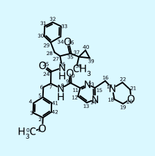 COc1ccc(CC(NC(=O)c2ccnc(CN3CCOCC3)n2)C(=O)NC(Cc2ccccc2)C(=O)C2(C)CC2)cc1